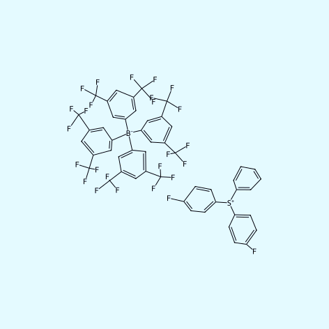 FC(F)(F)c1cc([B-](c2cc(C(F)(F)F)cc(C(F)(F)F)c2)(c2cc(C(F)(F)F)cc(C(F)(F)F)c2)c2cc(C(F)(F)F)cc(C(F)(F)F)c2)cc(C(F)(F)F)c1.Fc1ccc([S+](c2ccccc2)c2ccc(F)cc2)cc1